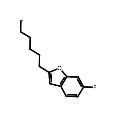 [CH2]CCCCCc1cc2ccc(F)cc2o1